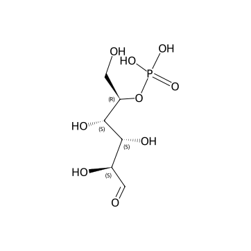 O=C[C@@H](O)[C@@H](O)[C@H](O)[C@@H](CO)OP(=O)(O)O